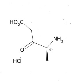 C[C@H](N)C(=O)CC(=O)O.Cl